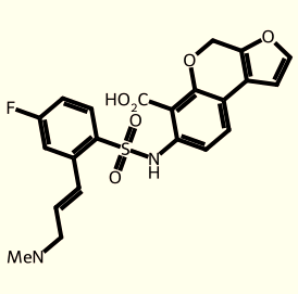 CNCC=Cc1cc(F)ccc1S(=O)(=O)Nc1ccc2c(c1C(=O)O)OCc1occc1-2